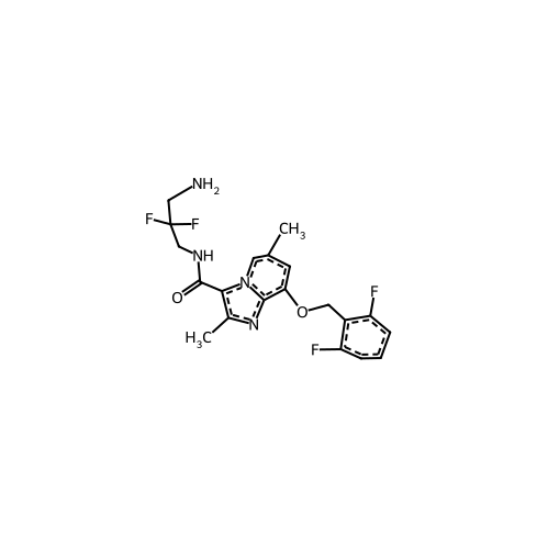 Cc1cc(OCc2c(F)cccc2F)c2nc(C)c(C(=O)NCC(F)(F)CN)n2c1